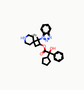 CCCC1(n2nnc3ccccc32)C(OC(=O)C(O)(c2ccccc2)C2CCCC2)CC12CCNCC2